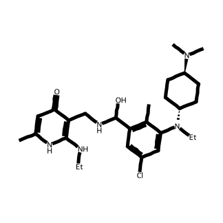 CCNc1[nH]c(C)cc(=O)c1CNC(O)c1cc(Cl)cc(N(CC)[C@H]2CC[C@H](N(C)C)CC2)c1C